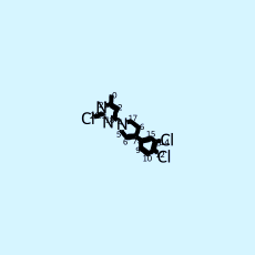 Cc1cc(N2CC=C(c3ccc(Cl)c(Cl)c3)CC2)nc(Cl)n1